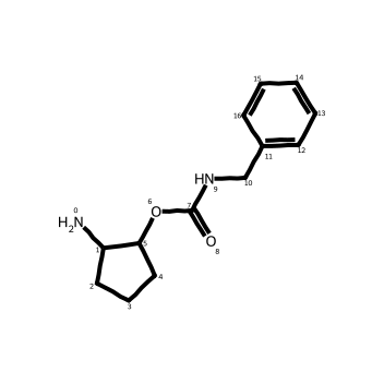 NC1CCCC1OC(=O)NCc1ccccc1